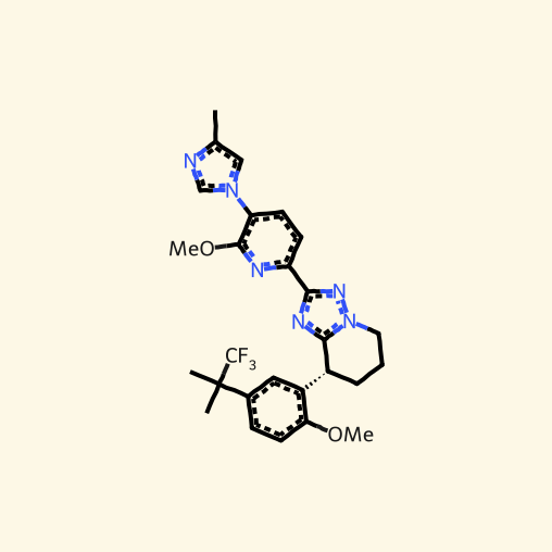 COc1ccc(C(C)(C)C(F)(F)F)cc1[C@H]1CCCn2nc(-c3ccc(-n4cnc(C)c4)c(OC)n3)nc21